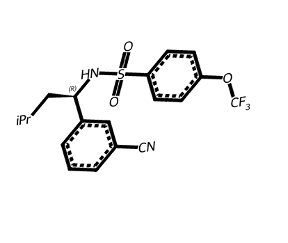 CC(C)C[C@@H](NS(=O)(=O)c1ccc(OC(F)(F)F)cc1)c1cccc(C#N)c1